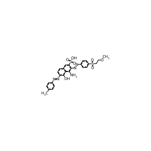 COCCS(=O)(=O)c1ccc(N=Nc2c(S(=O)(=O)O)cc3ccc(N=Nc4ccc(C)cc4)c(O)c3c2N)cc1